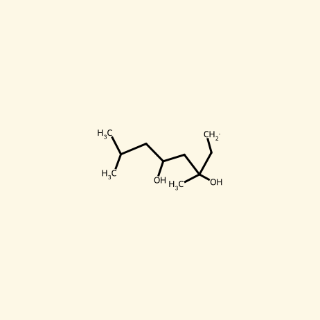 [CH2]CC(C)(O)CC(O)CC(C)C